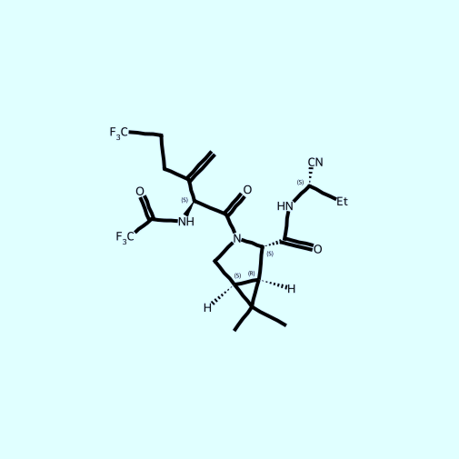 C=C(CCC(F)(F)F)[C@H](NC(=O)C(F)(F)F)C(=O)N1C[C@H]2[C@@H]([C@H]1C(=O)N[C@H](C#N)CC)C2(C)C